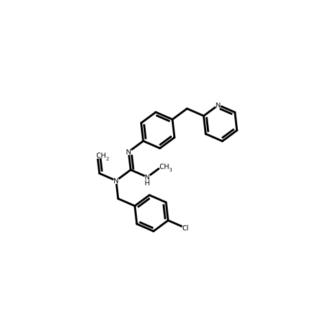 C=CN(Cc1ccc(Cl)cc1)/C(=N/c1ccc(Cc2ccccn2)cc1)NC